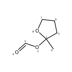 CC1(OC=O)CCCO1